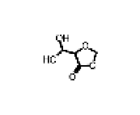 O=C1OCOC1C(O)O